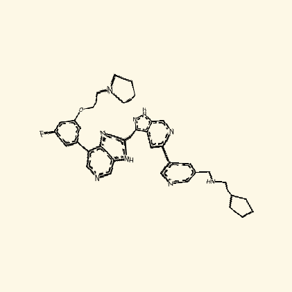 Fc1cc(OCCN2CCCC2)cc(-c2cncc3[nH]c(-c4n[nH]c5cnc(-c6cncc(CNCC7CCCC7)c6)cc45)nc23)c1